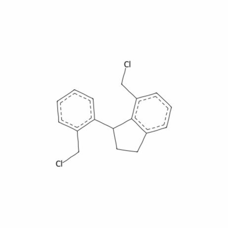 ClCc1ccccc1C1CCc2cccc(CCl)c21